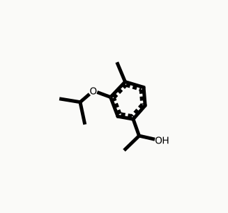 Cc1ccc(C(C)O)cc1OC(C)C